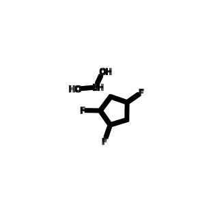 FC1CC(F)C(F)C1.OBO